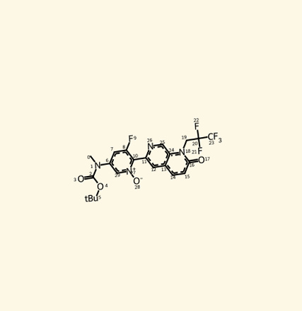 CN(C(=O)OC(C)(C)C)c1cc(F)c(-c2cc3ccc(=O)n(CC(F)(F)C(F)(F)F)c3cn2)[n+]([O-])c1